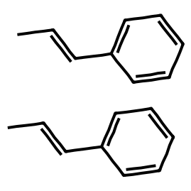 CC=Cc1ccccc1.CC=Cc1ccccc1